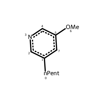 CCCCCc1cncc(OC)c1